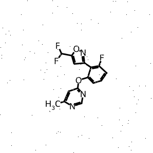 Cc1cc(Oc2cccc(F)c2-c2cc(C(F)F)on2)ncn1